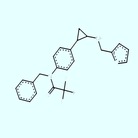 O=C(N(Cc1ccccc1)c1ccc(C2CC2NCc2cccs2)cc1)C(F)(F)F